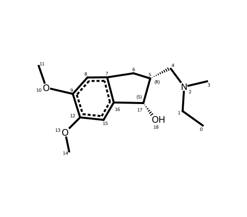 CCN(C)C[C@H]1Cc2cc(OC)c(OC)cc2[C@H]1O